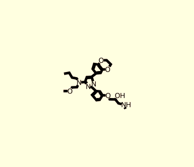 CCCCN(CCOC)c1cc(-c2ccc3c(c2)OCCO3)nc(-c2cccc(OCC(O)CNC)c2)n1